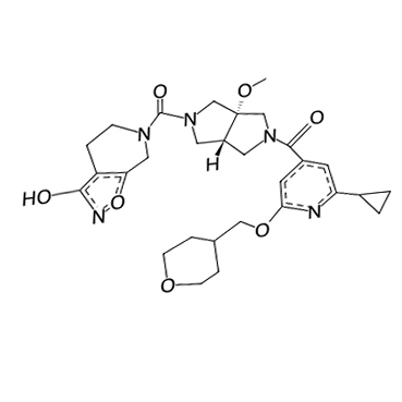 CO[C@]12CN(C(=O)c3cc(OCC4CCOCC4)nc(C4CC4)c3)C[C@@H]1CN(C(=O)N1CCc3c(O)noc3C1)C2